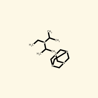 C1N2CN3CN1CN(C2)C3.CCN(C(C)C)C(C)C